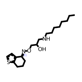 CCCCCCCCNCC(O)CO/N=C1\CCCc2sccc21